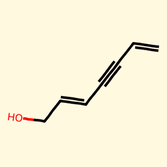 C=CC#C/C=C/CO